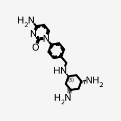 Nc1ccn(-c2ccc(CN[C@@H]3C[C@H](N)C[C@H](N)C3)cc2)c(=O)n1